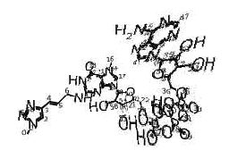 Cn1cc(C=CCNc2nc3c(c(=O)[nH]2)[n+](C)cn3[C@@H]2O[C@H](COP(=O)(O)OP(=O)(O)OP(=O)(O)OC[C@H]3O[C@@H](n4cnc5c(N)ncnc54)[C@@H](O)C3O)[C@H](O)C2O)nn1